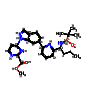 CCC[C@H](N[S@+]([O-])C(C)(C)C)c1cccc(-c2ccc3cnn(-c4ccnc(C(=O)OC)n4)c3c2)n1